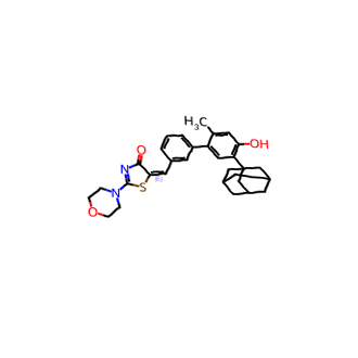 Cc1cc(O)c(C23CC4CC(CC(C4)C2)C3)cc1-c1cccc(/C=C2/SC(N3CCOCC3)=NC2=O)c1